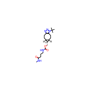 CNC(=O)CCCNC(=O)OC[C@@H]1[C@@H]2CCc3nnn(C(C)(C)C)c3CC[C@@H]21